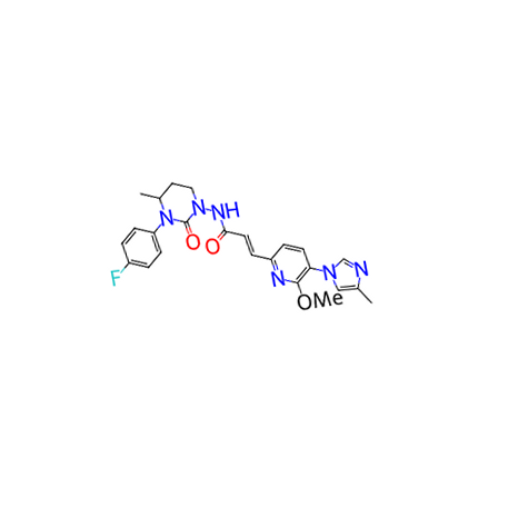 COc1nc(C=CC(=O)NN2CCC(C)N(c3ccc(F)cc3)C2=O)ccc1-n1cnc(C)c1